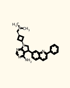 CN(C)C[C@H]1C[C@@H](N2CC(c3ccc4ccc(-c5ccccc5)nc4c3)c3c(N)ncnc32)C1